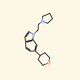 c1cc2ccn(CCN3CCCC3)c2cc1C1CCOCC1